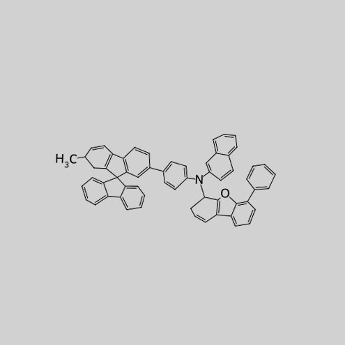 CC1C=CC2=C(C1)C1(c3cc(-c4ccc(N(c5ccc6ccccc6c5)C5CC=Cc6c5oc5c(-c7ccccc7)cccc65)cc4)ccc32)c2ccccc2-c2ccccc21